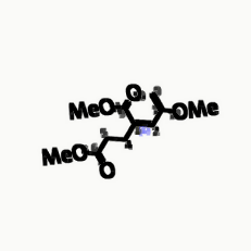 C=C(/C=C(/CCC(=O)OC)C(=O)OC)OC